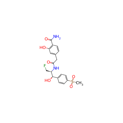 CS(=O)(=O)c1ccc([C@@H](O)[C@@H](CF)NC(=O)Cc2ccc(C(N)=O)c(O)c2)cc1